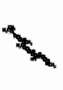 C=CC(=O)Oc1ccc2cc(C(=O)Oc3ccc(OC(=O)c4ccc5cc(OC(C)CC(C)OC(=O)c6ccc7cc(OCCCOC(=O)C(=C)C)ccc7c6)ccc5c4)cc3CCC)ccc2c1